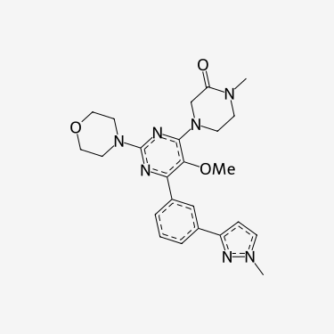 COc1c(-c2cccc(-c3ccn(C)n3)c2)nc(N2CCOCC2)nc1N1CCN(C)C(=O)C1